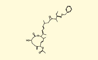 C=C1CCC(O)CC(=O)OC(/C(C)=C/C=C/C(C)CC2OC2C(C)/C(CC)=N/OCc2ccccc2)C(C)/C=C/C1OC(C)=O